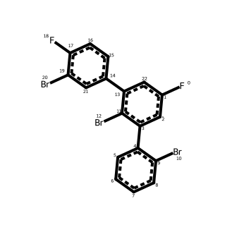 Fc1[c]c(-c2ccccc2Br)c(Br)c(-c2ccc(F)c(Br)c2)c1